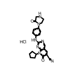 Cl.N#Cc1cc2cnc(Nc3ccc(N4CCNCC4=O)cc3)nc2n(C2CCCC2)c1=O